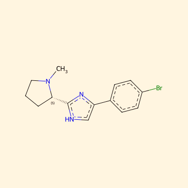 CN1CCC[C@H]1c1nc(-c2ccc(Br)cc2)c[nH]1